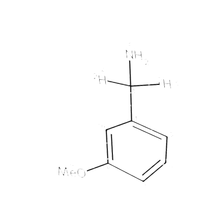 [2H]C([2H])(N)c1cccc(OC)c1